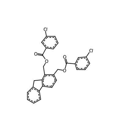 O=C(OCc1ccc2c(c1COC(=O)c1cccc(Cl)c1)Cc1ccccc1-2)c1cccc(Cl)c1